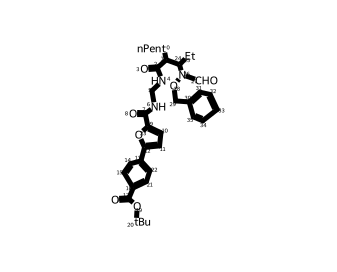 CCCCCC(C(=O)NCNC(=O)c1ccc(-c2ccc(C(=O)OC(C)(C)C)cc2)o1)C(CC)N(C=O)OCc1ccccc1